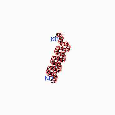 CNCCC[Si](C)(C)O[Si](C)(C)O[Si](C)(C)O[Si](C)(C)O[Si](C)(C)O[Si](C)(C)O[Si](C)(C)O[Si](C)(C)O[Si](C)(C)O[Si](C)(C)O[Si](C)(C)O[Si](C)(C)O[Si](C)(C)O[Si](C)(C)O[Si](C)(C)O[Si](C)(C)O[Si](C)(C)O[Si](C)(C)O[Si](C)(C)O[Si](C)(C)O[Si](C)(C)O[Si](C)(C)O[Si](C)(C)O[Si](C)(C)O[Si](C)(C)O[Si](C)(C)O[Si](C)(C)O[Si](C)(C)O[Si](C)(C)O[Si](C)(C)O[Si](C)(C)O[Si](C)(C)CCCNC